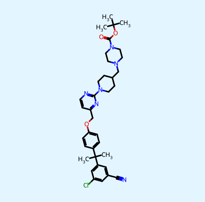 CC(C)(C)OC(=O)N1CCN(CC2CCN(c3nccc(COc4ccc(C(C)(C)c5cc(Cl)cc(C#N)c5)cc4)n3)CC2)CC1